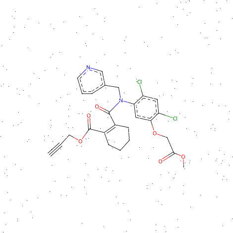 C#CCOC(=O)C1=C(C(=O)N(Cc2cccnc2)c2cc(OCC(=O)OC)c(Cl)cc2Cl)CCCC1